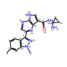 Cc1ccc2c(-c3cnc4[nH]cc(C(=O)NC5(N)CC5)c4n3)nn(C)c2c1